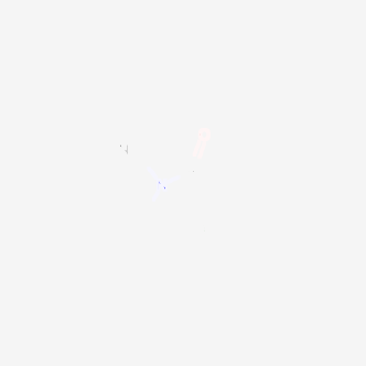 CC(Br)C(=O)N(C)C#N